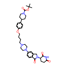 CC(C)(C)OC(=O)N1CCC(c2ccc(OCCCCN3CCN(c4ccc5c(c4)CN(C4CCC(=O)NC4=O)C5=O)CC3)cc2)CC1